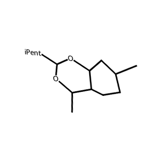 CCCC(C)C1OC(C)C2CCC(C)CC2O1